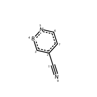 N#Cc1cbncc1